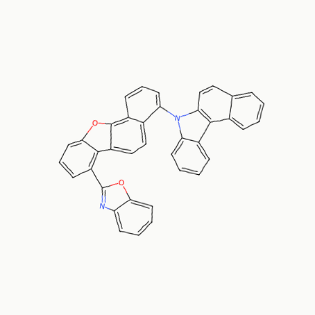 c1ccc2c(c1)ccc1c2c2ccccc2n1-c1cccc2c1ccc1c2oc2cccc(-c3nc4ccccc4o3)c21